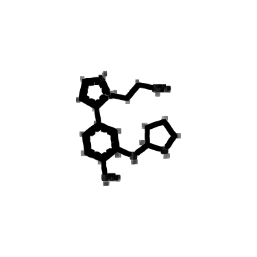 COCCn1nccc1-c1ccc(OC)c(OC2CCCO2)c1